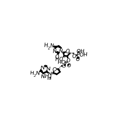 Nc1ccn([C@@H]2O[C@H](COP(=O)(O)O)C(OP(=O)(O)OC[C@@H]3CC[C@H](Nc4ncnc(N)c4N)O3)[C@H]2O)c(=O)n1